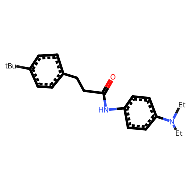 CCN(CC)c1ccc(NC(=O)CCc2ccc(C(C)(C)C)cc2)cc1